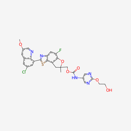 COc1cnc2c(-c3nc4cc(F)c5c(c4s3)CC(C)(COC(=O)Nc3cnc(OCCO)nc3)O5)cc(Cl)cc2c1